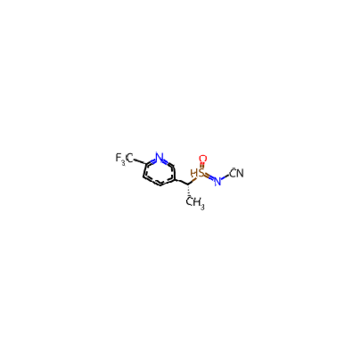 C[C@H](c1ccc(C(F)(F)F)nc1)/[SH](=O)=N/C#N